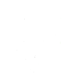 Fc1c(F)c(F)c(CC(F)(F)C(F)(F)Cl)c(F)c1F